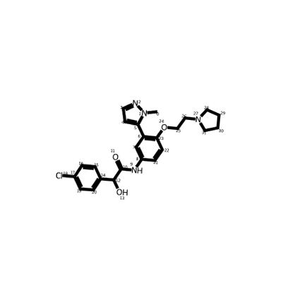 Cn1nccc1-c1cc(NC(=O)C(O)c2ccc(Cl)cc2)ccc1OCCN1CCCC1